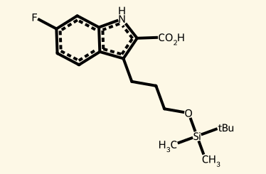 CC(C)(C)[Si](C)(C)OCCCc1c(C(=O)O)[nH]c2cc(F)ccc12